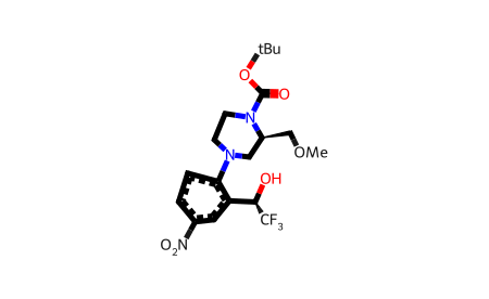 COC[C@H]1CN(c2ccc([N+](=O)[O-])cc2[C@@H](O)C(F)(F)F)CCN1C(=O)OC(C)(C)C